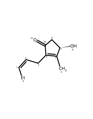 CC/C=C\CC1=C(C)[C@@H](O)CC1=O